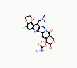 CC[C@@]1(OC(=O)NC(C)C)C(=O)OCc2c1cc1n(c2=O)Cc2c-1nc1cc(F)c3c(c1c2CN(C)C)OCCO3